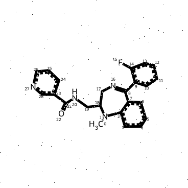 CN1c2ccccc2C(c2ccccc2F)=NCC1CNC(=O)c1cccnc1